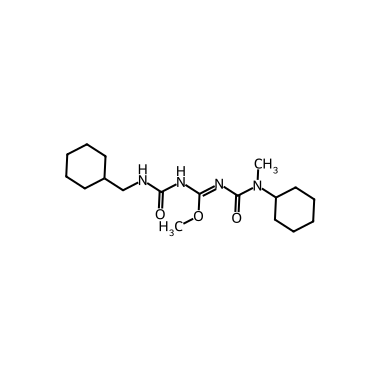 COC(=NC(=O)N(C)C1CCCCC1)NC(=O)NCC1CCCCC1